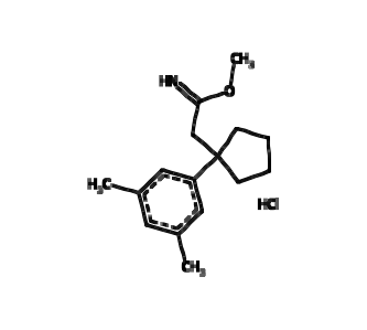 COC(=N)CC1(c2cc(C)cc(C)c2)CCCC1.Cl